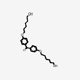 O=C(c1ccc(OCCCCCCO)cc1)c1ccc(OCCCCCCO)cc1